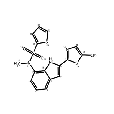 CN(c1cccc2cc(-c3ncc(Cl)s3)[nH]c12)S(=O)(=O)c1cccs1